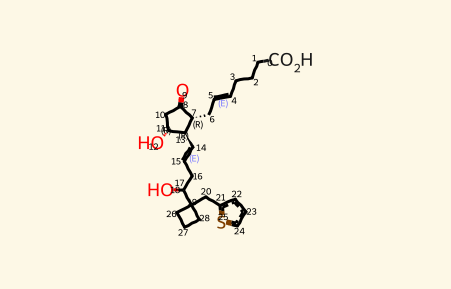 O=C(O)CCC/C=C/C[C@H]1C(=O)C[C@@H](O)[C@@H]1/C=C/CC(O)C1(Cc2cccs2)CCC1